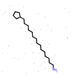 NCCCCCCCCCCCCCCCC1CCCC1